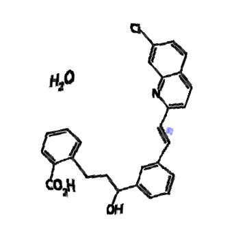 O.O=C(O)c1ccccc1CCC(O)c1cccc(/C=C/c2ccc3ccc(Cl)cc3n2)c1